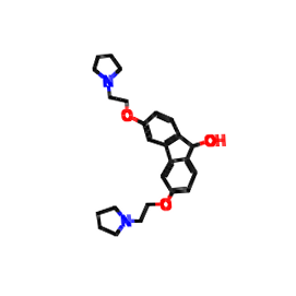 OC1c2ccc(OCCN3CCCC3)cc2-c2cc(OCCN3CCCC3)ccc21